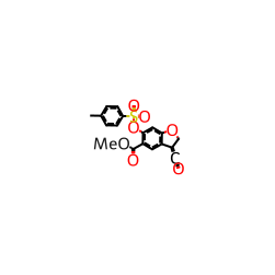 COC(=O)c1cc2c(cc1OS(=O)(=O)c1ccc(C)cc1)OCC2=C=O